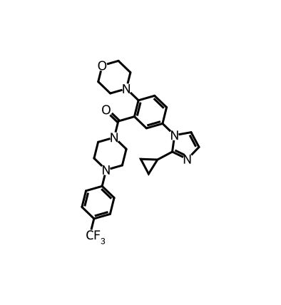 O=C(c1cc(-n2ccnc2C2CC2)ccc1N1CCOCC1)N1CCN(c2ccc(C(F)(F)F)cc2)CC1